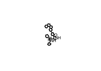 C1=C(C2=NC(c3ccccc3)=NC(c3ccccc3)N2)c2c(oc3cc(-c4ccc5c(ccc6ccc7ccccc7c65)c4)ccc23)NC1